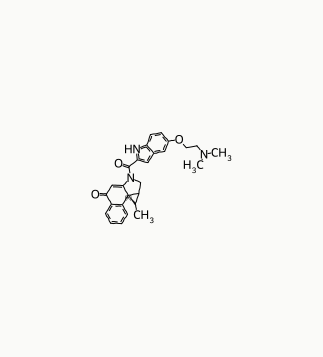 CC1C2CN(C(=O)c3cc4cc(OCCN(C)C)ccc4[nH]3)C3=CC(=O)c4ccccc4[C@@]312